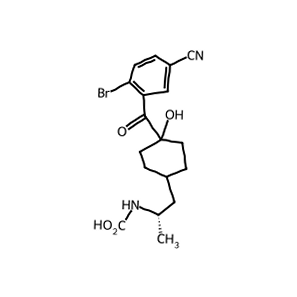 C[C@@H](CC1CCC(O)(C(=O)c2cc(C#N)ccc2Br)CC1)NC(=O)O